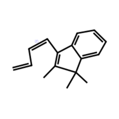 C=C/C=C\C1=C(C)C(C)(C)c2ccccc21